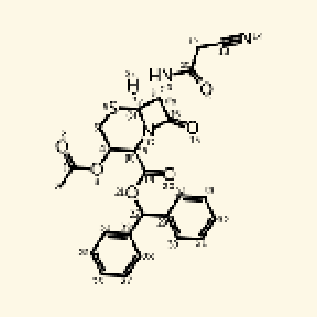 CC(=O)OC1CS[C@H]2[C@H](NC(=O)CC#N)C(=O)N2[C@H]1C(=O)OC(c1ccccc1)c1ccccc1